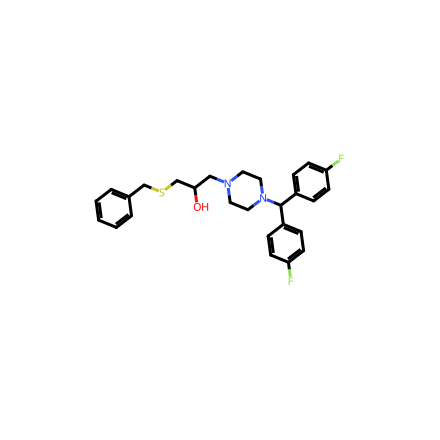 OC(CSCc1ccccc1)CN1CCN(C(c2ccc(F)cc2)c2ccc(F)cc2)CC1